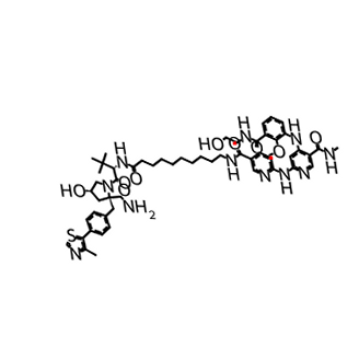 CNC(=O)c1cnc(Nc2ccc(C(=O)NCCCCCCCCCC(=O)N[C@H](C(=O)N3C[C@H](O)C[C@@]3(Cc3ccc(-c4scnc4C)cc3)C(N)=O)C(C)(C)C)cn2)cc1Nc1cccc(C(=O)NCCO)c1OC